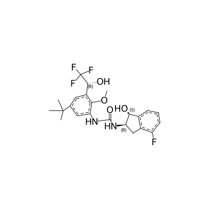 COc1c(NC(=O)N[C@@H]2Cc3c(F)cccc3[C@@H]2O)cc(C(C)(C)C)cc1[C@@H](O)C(F)(F)F